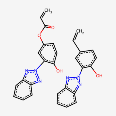 C=CC(=O)Oc1ccc(O)c(-n2nc3ccccc3n2)c1.C=Cc1ccc(O)c(-n2nc3ccccc3n2)c1